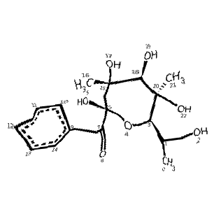 CC(O)[C@H]1O[C@](O)(C(=O)c2ccccc2)[C@](C)(O)[C@@H](O)[C@@]1(C)O